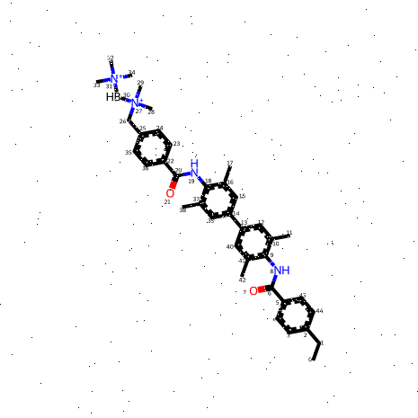 CCc1ccc(C(=O)Nc2c(C)cc(-c3cc(C)c(NC(=O)c4ccc(C[N+](C)(C)B[N+](C)(C)C)cc4)c(C)c3)cc2C)cc1